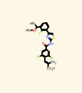 CCCCOC(CCCC)c1cccc(-c2csc(NC(=O)c3cc(F)c(C=C(C)C(=O)O)c(F)c3)n2)c1F